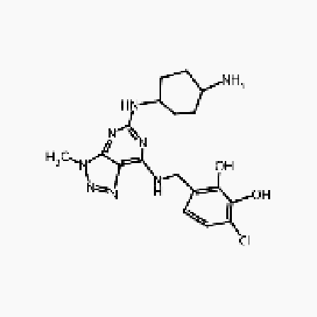 Cn1nnc2c(NCc3ccc(Cl)c(O)c3O)nc(NC3CCC(N)CC3)nc21